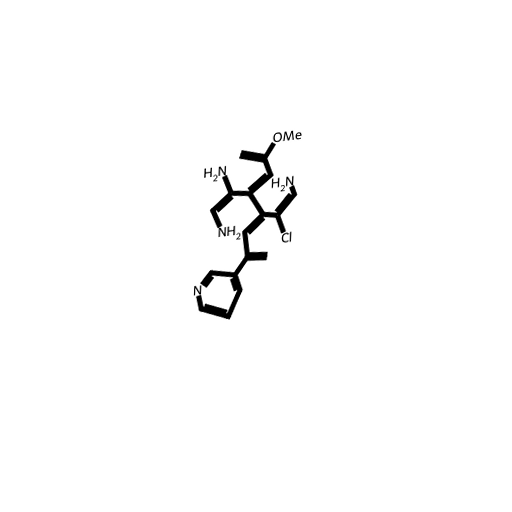 C=C(/C=C(C(=CC(=C)c1cccnc1)/C(Cl)=C\N)\C(N)=C/N)OC